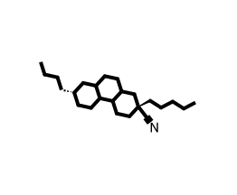 CCCCC[C@@]1(C#N)CCC2C(CCC3C[C@@H](CCCC)CCC32)C1